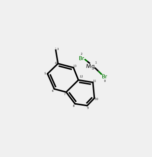 [Br][Mg][Br].[CH2]c1ccc2ccccc2c1